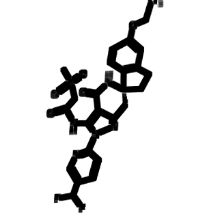 CS(=O)(=O)CC(=O)Nc1c2c(nn1-c1ccc(C(F)F)cn1)C[C@]1(CCc3cc(OCC(F)(F)F)ccc31)NC2=O